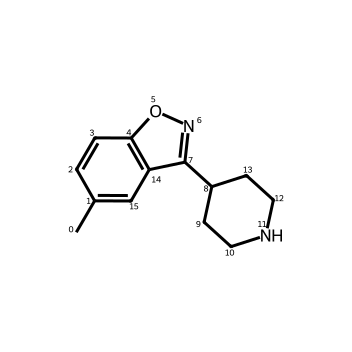 Cc1ccc2onc(C3CCNCC3)c2c1